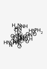 N=C(N)NCCC[C@H](NC(=O)[C@@H](Cc1ccccc1)NC(=O)[C@H](Cc1cnc[nH]1)NP)C(=O)N[C@@H](Cc1c[nH]c2ccccc12)C(=O)NCC(=O)NCC(=O)NP